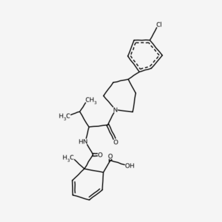 CC(C)C(NC(=O)C1(C)C=CC=CC1C(=O)O)C(=O)N1CCC(c2ccc(Cl)cc2)CC1